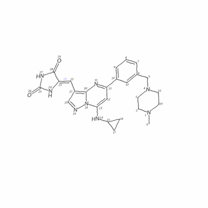 CN1CCN(Cc2cccc(-c3cc(NC4CC4)n4ncc(/C=C5\NC(=O)NC5=O)c4n3)c2)CC1